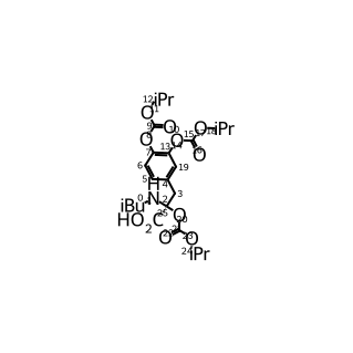 CCC(C)N[C@@](Cc1ccc(OC(=O)OC(C)C)c(OC(=O)OC(C)C)c1)(OC(=O)OC(C)C)C(=O)O